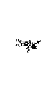 CCCCc1cc(F)ccc1NS(=O)(=O)C1CCC2(C=C1C(=O)OCC)O[C@@H](CO)[C@H](CO)O2